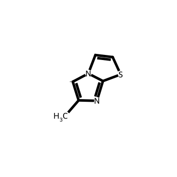 Cc1[c]n2ccsc2n1